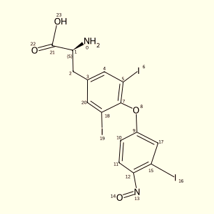 N[C@@H](Cc1cc(I)c(Oc2ccc(N=O)c(I)c2)c(I)c1)C(=O)O